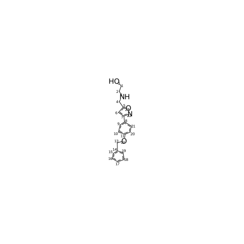 OCCNCc1cc(-c2ccc(OCc3ccccc3)cc2)no1